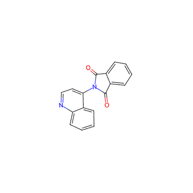 O=C1c2ccccc2C(=O)N1c1ccnc2ccccc12